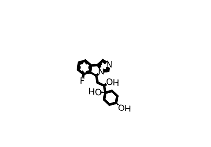 OC(CC1c2c(F)cccc2-c2cncn21)[C@]1(O)CC[C@@H](O)CC1